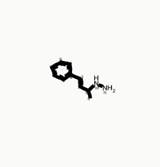 CC(C=Cc1ccccc1)NN